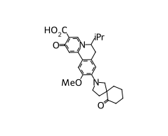 COc1cc2c(cc1N1CCC3(CCCCC3=O)C1)CC(C(C)C)n1cc(C(=O)O)c(=O)cc1-2